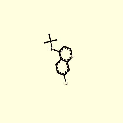 CC(C)(C)Nc1ccnc2cc(Cl)ccc12